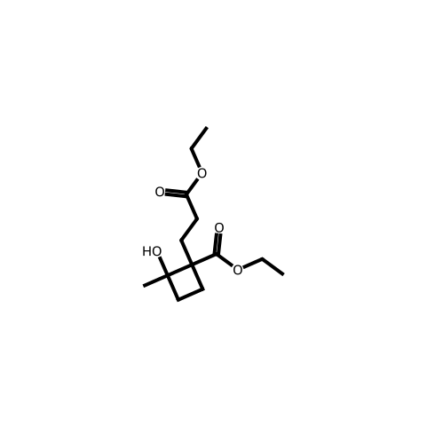 CCOC(=O)CCC1(C(=O)OCC)CCC1(C)O